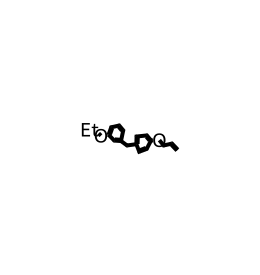 C=CCOc1ccc(Cc2cccc(OCC)c2)cc1